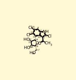 CC(=O)c1c(Cl)[nH]c2cc(Cl)c(Cl)c([C@@H]3O[C@H](CO)[C@@H](O)[C@H]3O)c12